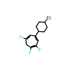 CCC1CCC(C2=CC(F)=C(F)CC(F)=C2)CC1